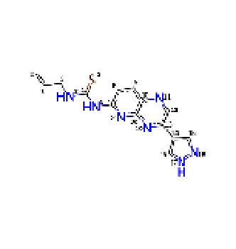 C=CCNC(=S)Nc1ccc2ncc(-c3cn[nH]c3)nc2n1